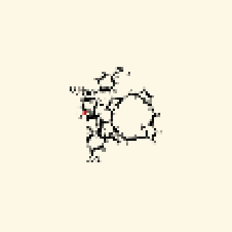 O=[N+]([O-])c1ccc(O)c(C2=CC3=CC4=NC(=CC5=NC(=CC6=NC(=C(c7cc([N+](=O)[O-])ccc7O)C2=N3)C(c2cc([N+](=O)[O-])ccc2O)=C6c2cc([N+](=O)[O-])ccc2O)C=C5)C=C4)c1